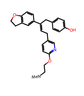 CNCCOc1ccc(CC=C(Cc2ccc(O)cc2)c2ccc3c(c2)CCO3)cn1